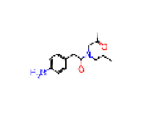 CCCN(CC(C)=O)C(=O)Cc1ccc(N)cc1